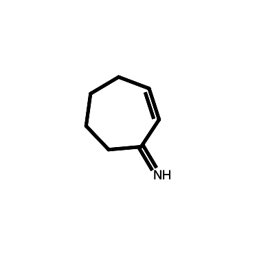 N=C1C=CCCCC1